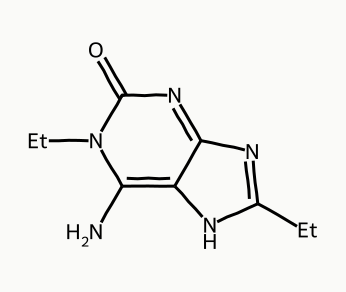 CCc1nc2nc(=O)n(CC)c(N)c2[nH]1